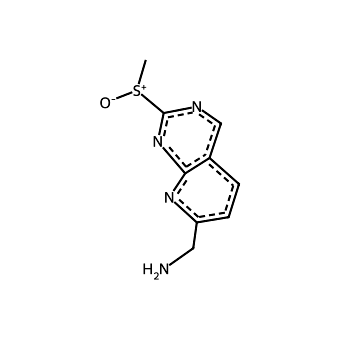 C[S+]([O-])c1ncc2ccc(CN)nc2n1